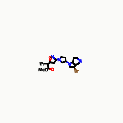 COC(=O)C(c1cc(N2CC[C@@H](n3cc(Br)c4cnccc43)C2)no1)C(C)C